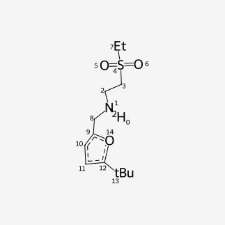 [2H]N(CCS(=O)(=O)CC)Cc1ccc(C(C)(C)C)o1